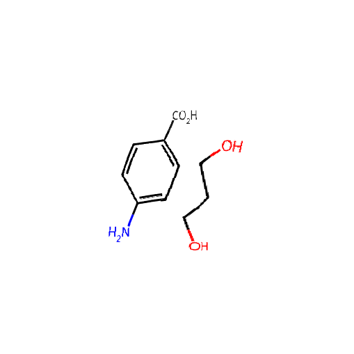 Nc1ccc(C(=O)O)cc1.OCCCO